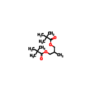 CC(COC(=O)C(C)(C)C)COC(=O)C(C)(C)C